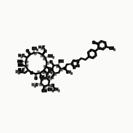 CCC1OC(=O)[C@H](C)[C@H](OC2C[C@@](C)(OC)[C@@H](O)[C@H](C)O2)[C@H](C)[C@@H](OC2O[C@H](C)C[C@H](N(C)Cc3cn(CCc4ccc(-n5cc(C)ccc5=O)cc4)nn3)[C@H]2O)[C@@H](C)[C@H](OC)C[C@@H](C)C(=O)C(C)[C@@H](O)[C@]1(C)O